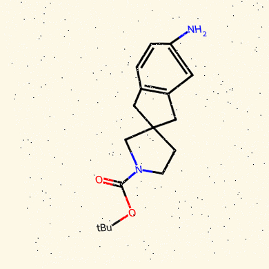 CC(C)(C)OC(=O)N1CCC2(Cc3ccc(N)cc3C2)C1